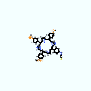 CPc1ccc(-c2c3nc(c(-c4ccc(PC)cc4)c4ccc([nH]4)c(-c4ccc(PC)cc4)c4nc(c(-c5ccc(N=C=S)cc5)c5ccc2[nH]5)C=C4)C=C3)cc1